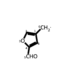 [CH2]c1coc(C=O)c1